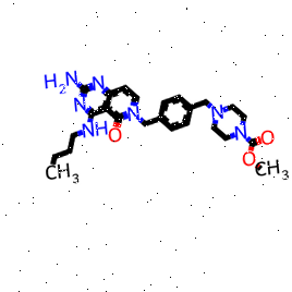 CCCCNc1nc(N)nc2ccn(Cc3ccc(CN4CCN(C(=O)OC)CC4)cc3)c(=O)c12